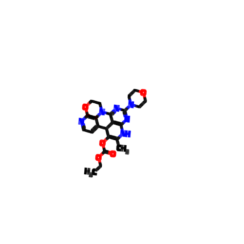 CCOC(=O)OC1=C(C)Nc2nc(N3CCOCC3)nc(N3CCOCC3)c2C1c1ccncc1